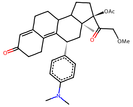 COCC(=O)[C@@]1(OC(C)=O)CCC2C3CCC4=CC(=O)CCC4=C3[C@@H](c3ccc(N(C)C)cc3)C[C@@]21C